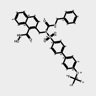 O=C(NO)c1c(CN(C(=O)OCc2ccccc2)S(=O)(=O)c2ccc(-c3ccc(OC(F)(F)F)cc3)cc2)ccc2ccccc12